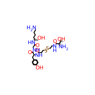 C[C@@H](O)[C@H](N)C(=O)NCCSSCCC(=O)NC(Cc1ccc(O)cc1)C(=O)NCC(=O)N[C@H](CO)CCCCN